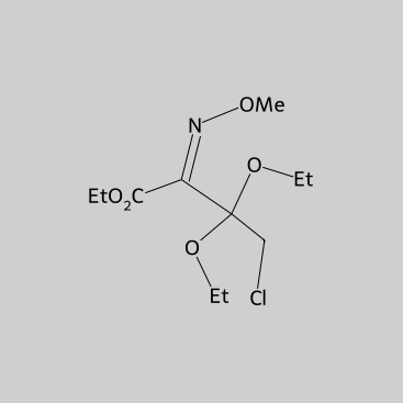 CCOC(=O)C(=NOC)C(CCl)(OCC)OCC